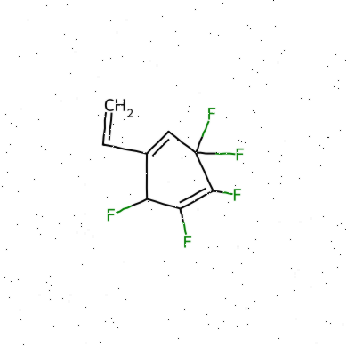 C=CC1=CC(F)(F)C(F)=C(F)C1F